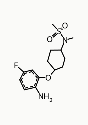 CN(C1CCC(Oc2cc(F)ccc2N)CC1)S(C)(=O)=O